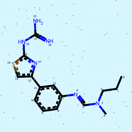 CCCN(C)C=Nc1cccc(-c2csc(NC(=N)N)n2)c1